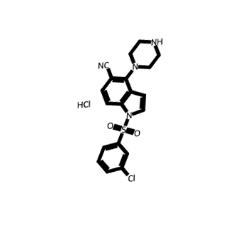 Cl.N#Cc1ccc2c(ccn2S(=O)(=O)c2cccc(Cl)c2)c1N1CCNCC1